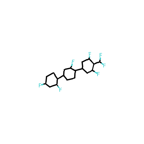 FC1CCC(C2CCC(C3CC(F)C(C(F)F)C(F)C3)C(F)C2)C(F)C1